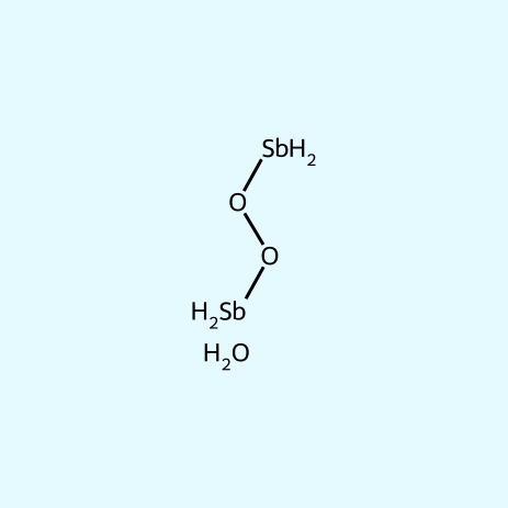 O.[SbH2][O][O][SbH2]